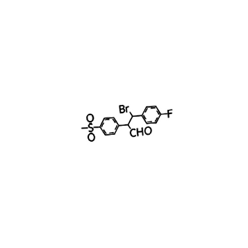 CS(=O)(=O)c1ccc(C(C=O)C(Br)c2ccc(F)cc2)cc1